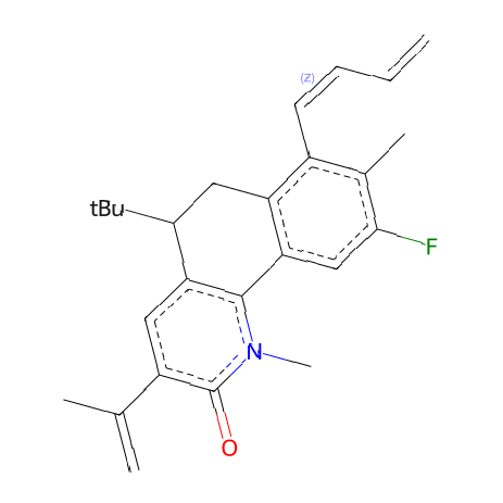 C=C/C=C\c1c(C)c(F)cc2c1CC(C(C)(C)C)c1cc(C(=C)C)c(=O)n(C)c1-2